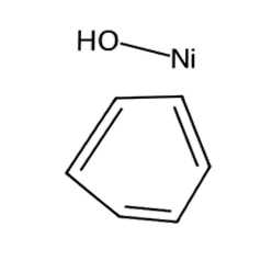 [OH][Ni].c1ccccc1